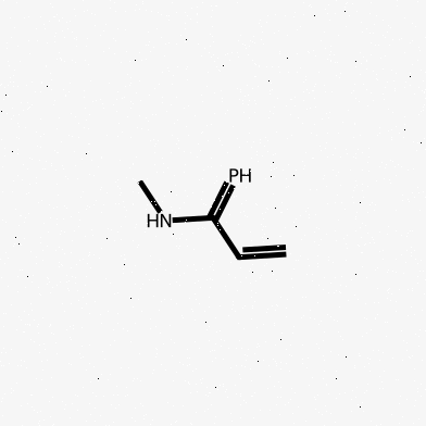 C=CC(=P)NC